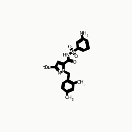 Cc1ccc(Cn2nc(C(C)(C)C)cc2C(=O)NS(=O)(=O)c2cccc(N)c2)c(C)c1